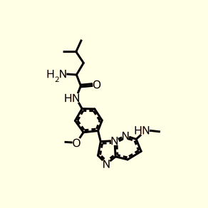 CNc1ccc2ncc(-c3ccc(NC(=O)C(N)CC(C)C)cc3OC)n2n1